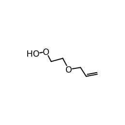 C=CCOCCOO